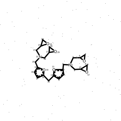 c1cc(CN(CC2CO2)CC2CO2)oc1Cc1ccc(CN(CC2CO2)CC2CO2)o1